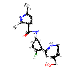 Cc1nc(C(F)(F)F)ccc1C(=O)Nc1ccc(Cl)c(-c2cc(CO)ccn2)c1